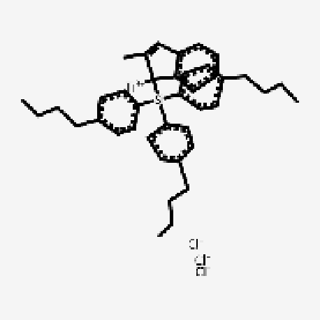 CCCCc1ccc([Si](c2ccc(CCCC)cc2)(c2ccc(CCCC)cc2)[C]2([Ti+3])C(C)=Cc3ccccc32)cc1.[Cl-].[Cl-].[Cl-]